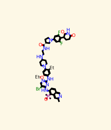 CCOc1cc(N2CCC(NCCNC(=O)[C@@H]3CCN(c4cc(F)c(C5CCC(=O)NC5=O)c(F)c4)C3)CC2)c(CC)cc1Nc1ncc(Br)c(Nc2ccc3cnc(C)cc3c2P(C)(C)=O)n1